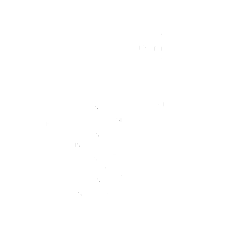 CCc1cccc([PH](=O)O)c1Cc1ccc(Nc2ncc(C(F)(F)F)c(NCc3cccnc3N(C)S(C)(=O)=O)n2)cc1